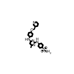 Cc1cc(Nc2ccc(OCc3cccnc3)cc2)nc(Nc2ccc(S(N)(=O)=O)cc2)n1